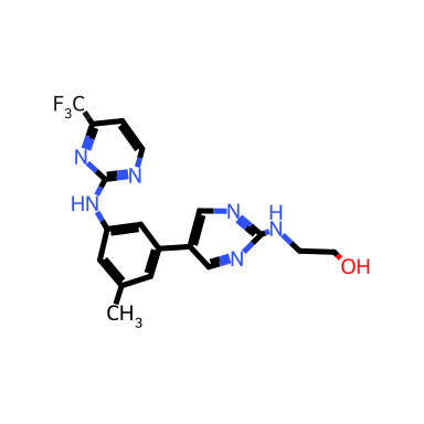 Cc1cc(Nc2nccc(C(F)(F)F)n2)cc(-c2cnc(NCCO)nc2)c1